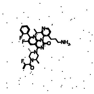 C=C(F)C(=O)N1C[C@H](C)N(c2nc(=O)n(-c3c(CCCN)ccnc3C(C)C)c3nc(C4=C=C=CC=C4F)c(F)cc23)C[C@H]1C